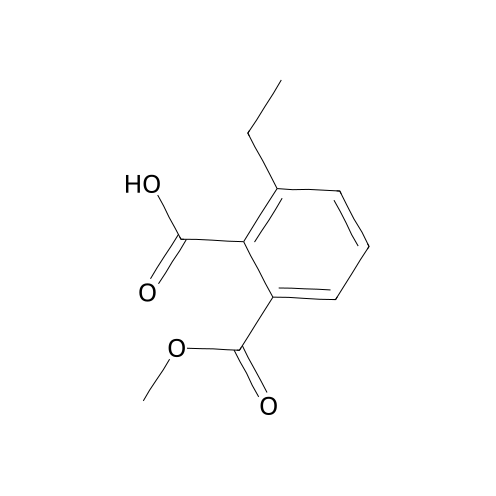 CCc1cccc(C(=O)OC)c1C(=O)O